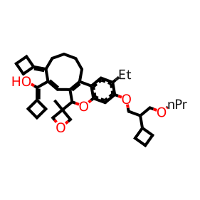 CCCOCC(COc1cc2c(cc1CC)C1=C(/C=C(/C(O)=C3CCC3)C(=C3CCC3)CCCC1)C(C1(C)COC1)O2)C1CCC1